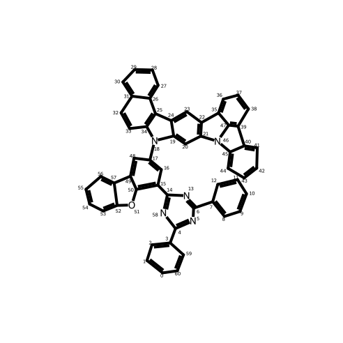 c1ccc(-c2nc(-c3ccccc3)nc(-c3cc(-n4c5cc6c(cc5c5c7ccccc7ccc54)c4cccc5c7ccccc7n6c54)cc4c3oc3ccccc34)n2)cc1